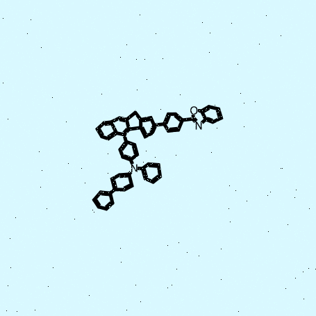 c1ccc(-c2ccc(N(c3ccccc3)c3ccc(-c4c5c(cc6ccccc46)Cc4cc(-c6ccc(-c7nc8ccccc8o7)cc6)ccc4-5)cc3)cc2)cc1